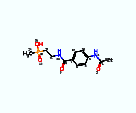 CCC(=O)Nc1ccc(C(=O)NCCP(C)(=O)O)cc1